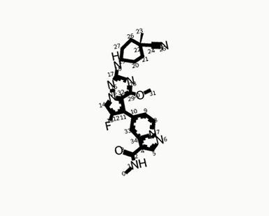 CNC(=O)c1cnn2ccc(-c3c(F)cn4nc(N[C@H]5CC[C@@](C)(C#N)CC5)nc(OC)c34)cc12